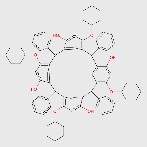 Oc1cc(OC2CCCCC2)c2cc1C(c1ccccc1)c1cc(c(O)cc1OC1CCCCC1)C(c1ccccc1)c1cc(c(O)cc1OC1CCCCC1)C(c1ccccc1)c1cc(c(O)cc1OC1CCCCC1)C2c1ccccc1